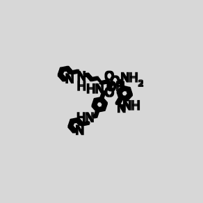 NC(=O)c1ccc2[nH]ncc2c1.O=C(N[C@@H](CCCNCc1ccccn1)C(=O)O)c1ccc(CNCc2ccccn2)cc1